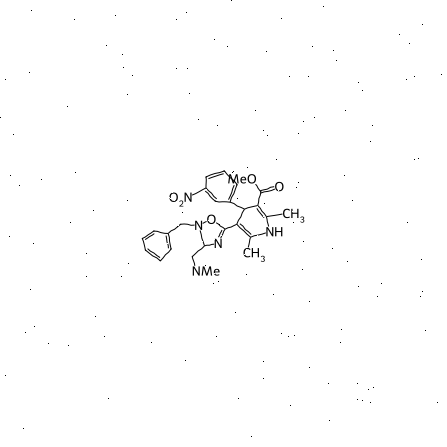 CNCC1N=C(C2=C(C)NC(C)=C(C(=O)OC)C2c2cccc([N+](=O)[O-])c2)ON1Cc1ccccc1